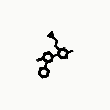 Cc1ncc(-c2ccc(=O)n(-c3ccccc3)c2)c(OCC2CC2)n1